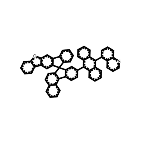 c1ccc2c(c1)-c1cc3oc4ccccc4c3cc1C21c2cc(-c3c4ccccc4c(-c4cccc5ncccc45)c4ccccc34)ccc2-c2c1ccc1ccccc21